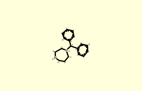 c1ccc(C(c2ccccc2)N2CCC[N]CC2)cc1